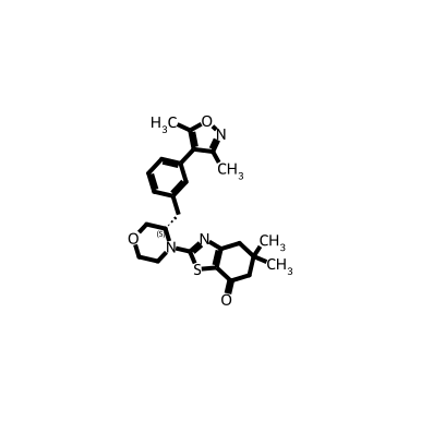 Cc1noc(C)c1-c1cccc(C[C@H]2COCCN2c2nc3c(s2)C(=O)CC(C)(C)C3)c1